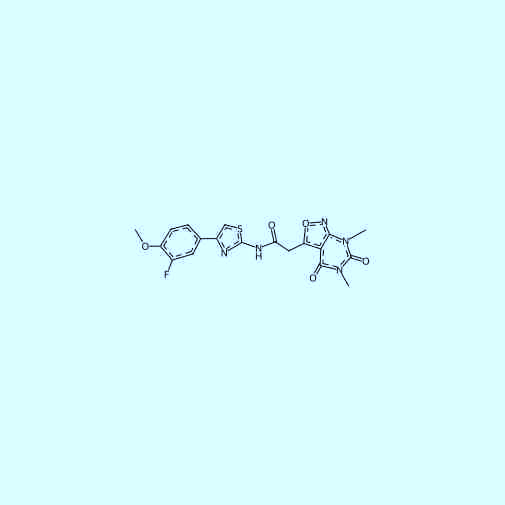 COc1ccc(-c2csc(NC(=O)Cc3onc4c3c(=O)n(C)c(=O)n4C)n2)cc1F